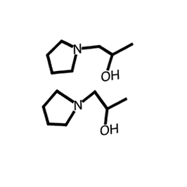 CC(O)CN1CCCC1.CC(O)CN1CCCC1